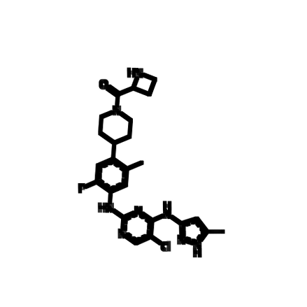 Cc1cc(Nc2nc(Nc3cc(C)c(C4CCN(C(=O)C5CCN5)CC4)cc3F)ncc2Cl)n[nH]1